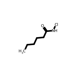 CCCCCC(=O)NCl